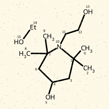 CC1(C)CC(O)CC(C)(C)N1CCO.CCO